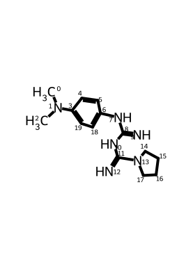 CN(C)c1ccc(NC(=N)NC(=N)N2CCCC2)cc1